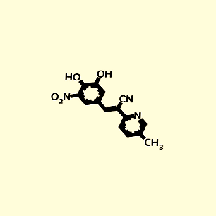 Cc1ccc(/C(C#N)=C/c2cc(O)c(O)c([N+](=O)[O-])c2)nc1